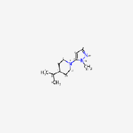 CC(C)C1CCN(c2ccnn2C)CC1